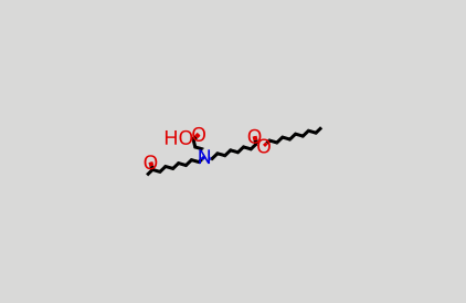 CCCCCCCCCOC(=O)CCCCCCCN(CCCCCCCC(C)=O)CCC(=O)O